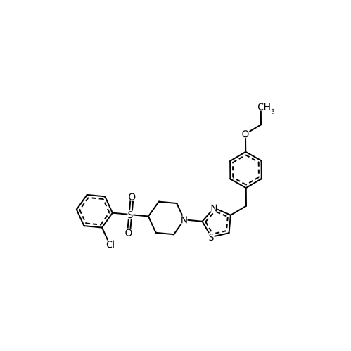 CCOc1ccc(Cc2csc(N3CCC(S(=O)(=O)c4ccccc4Cl)CC3)n2)cc1